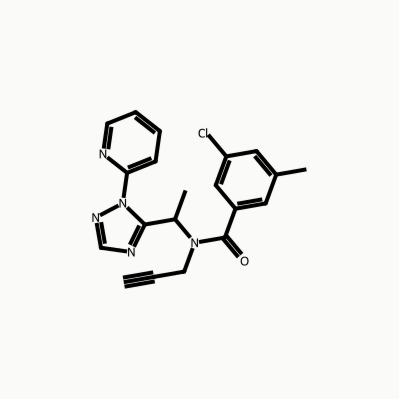 C#CCN(C(=O)c1cc(C)cc(Cl)c1)C(C)c1ncnn1-c1ccccn1